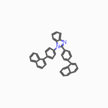 c1ccc2c(-c3ccc(-c4nc5ccccc5n4-c4ccc(-c5cccc6ccccc56)cc4)cc3)cccc2c1